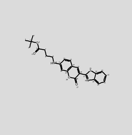 CC(C)(C)OC(=O)CCCNc1ccc2cc(-c3nc4ccccc4s3)c(=O)oc2c1